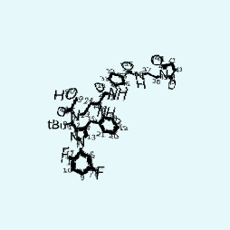 CC(C)(C)[C@H](c1nn(-c2cc(F)ccc2F)cc1Cc1ccccc1)N(CC[C@H](N)C(=O)N[C@H]1CC[C@H](C(=O)NCCN2C(=O)C=CC2=O)C1)C(=O)CO